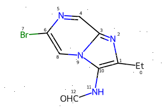 CCc1nc2cnc(Br)cn2c1NC=O